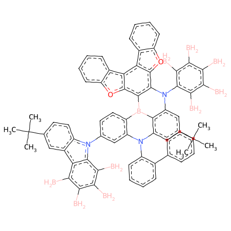 Bc1c(B)c(B)c(N2c3cc(C(C)(C)C)cc4c3B(c3ccc(-n5c6ccc(C(C)(C)C)cc6c6c(B)c(B)c(B)c(B)c65)cc3N4c3ccccc3-c3ccccc3)c3c2c2oc4ccccc4c2c2c3oc3ccccc32)c(B)c1B